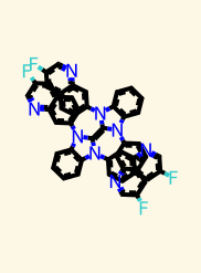 Fc1cnc2cc(N3C(=C4N(c5ccc6cc(F)cnc6c5)c5ccccc5N4c4ccc5cc(F)cnc5c4)N(c4ccc5cc(F)cnc5c4)c4ccccc43)ccc2c1